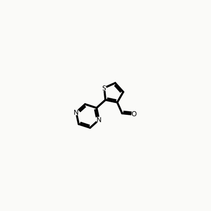 O=Cc1ccsc1-c1cnccn1